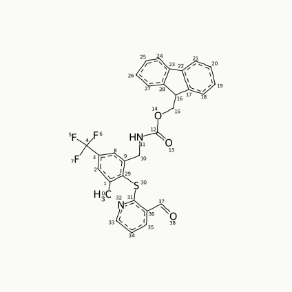 Cc1cc(C(F)(F)F)cc(CNC(=O)OCC2c3ccccc3-c3ccccc32)c1Sc1ncccc1C=O